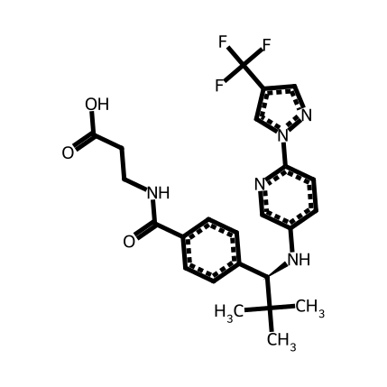 CC(C)(C)[C@H](Nc1ccc(-n2cc(C(F)(F)F)cn2)nc1)c1ccc(C(=O)NCCC(=O)O)cc1